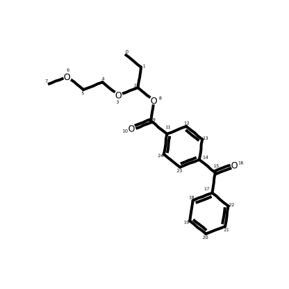 CCC(OCCOC)OC(=O)c1ccc(C(=O)c2ccccc2)cc1